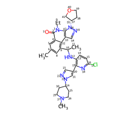 CCn1c(=O)c2cc(C)cc(C(C)Nc3ccc(Cl)nc3-c3cnn(C4CCN(C)CC4)c3)c2c2cnn([C@H]3CCOC3)c21